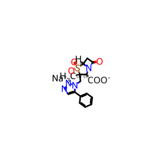 C[C@]1(Cn2nncc2-c2ccccc2)[C@H](C(=O)[O-])N2C(=O)C[C@H]2S1(=O)=O.[Na+]